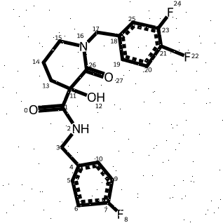 O=C(NCc1ccc(F)cc1)C1(O)CCCN(Cc2ccc(F)c(F)c2)C1=O